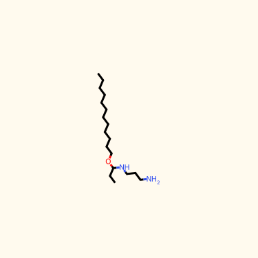 CCCCCCCCCCCCOC(CC)NCCCN